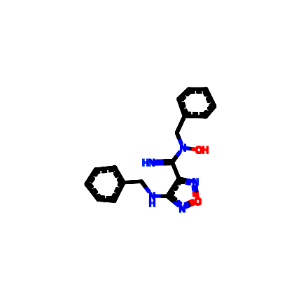 N=C(c1nonc1NCc1ccccc1)N(O)Cc1ccccc1